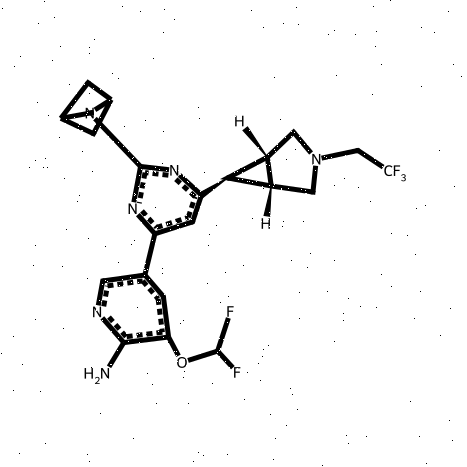 Nc1ncc(-c2cc([C@H]3[C@@H]4CN(CC(F)(F)F)C[C@@H]43)nc(N3CC4CC3C4)n2)cc1OC(F)F